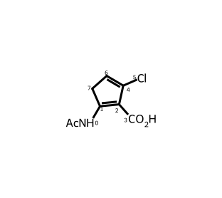 CC(=O)NC1=C(C(=O)O)C(Cl)=CC1